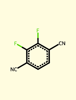 N#Cc1ccc(C#N)c(F)c1F